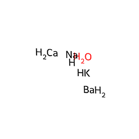 O.[BaH2].[CaH2].[KH].[NaH]